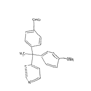 COc1ccc(C(C)(c2ccncc2)c2ccc(C=O)cc2)cc1